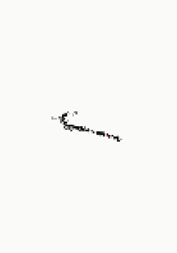 [N-]=[N+]=NCCOCCOCCOCCOCCOCCOCCOCCOCCC(=O)NC(CCC(=O)NC(CCC(=O)O)C(=O)O)C(=O)O